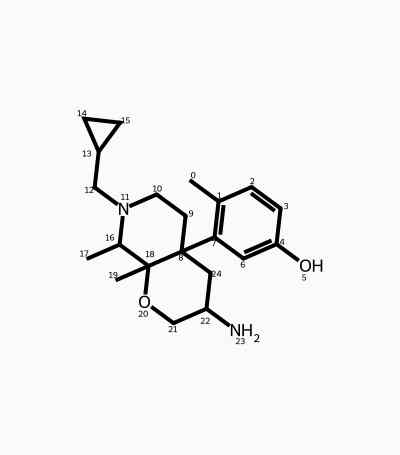 Cc1ccc(O)cc1C12CCN(CC3CC3)C(C)C1(C)OCC(N)C2